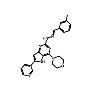 Cc1cccc(/C=N/Nc2nc(N3CCOCC3)c3[nH]c(-c4cccnc4)cc3n2)c1